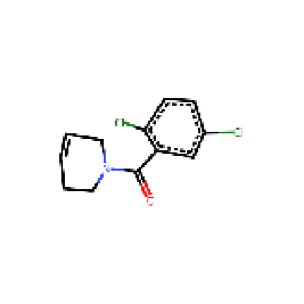 O=C(c1cc(Cl)ccc1Cl)N1CC=CCC1